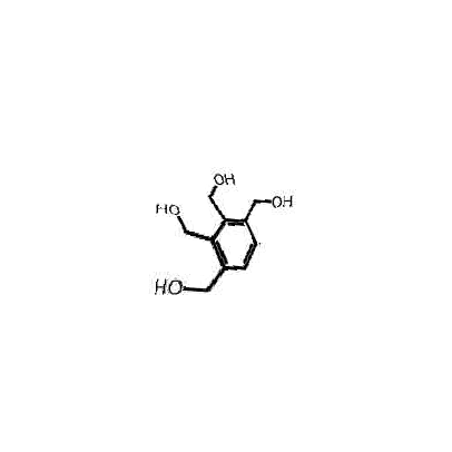 OCc1[c]cc(CO)c(CO)c1CO